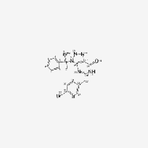 CCCC(C)(c1ccccc1)n1nnc2c(=O)[nH]c(Cc3ccc(Br)cc3)nc21